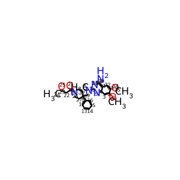 COc1cc2nc(N(C)CC3(c4ccccc4)CCN(C(=O)CC(C)=O)CC3)nc(N)c2cc1OC